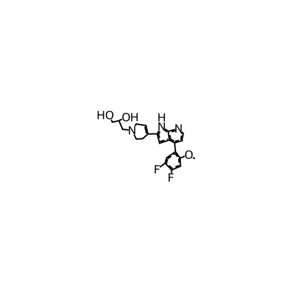 COc1cc(F)c(F)cc1-c1ccnc2[nH]c(C3=CCN(CC(O)CO)CC3)cc12